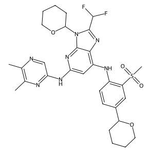 Cc1ncc(Nc2cc(Nc3ccc(C4CCCCO4)cc3S(C)(=O)=O)c3nc(C(F)F)n(C4CCCCO4)c3n2)nc1C